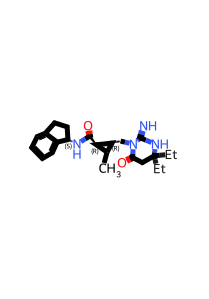 CCC1(CC)CC(=O)N(C[C@@H]2C(C)[C@H]2C(=O)N[C@H]2CCc3ccccc32)C(=N)N1